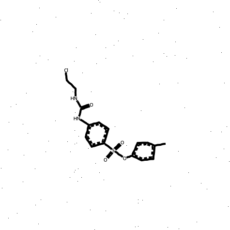 Cc1ccc(OS(=O)(=O)c2ccc(NC(=O)NCCCl)cc2)cc1